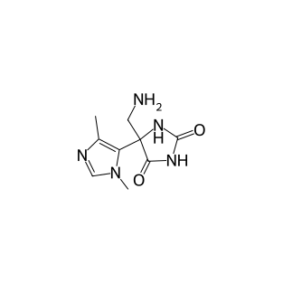 Cc1ncn(C)c1C1(CN)NC(=O)NC1=O